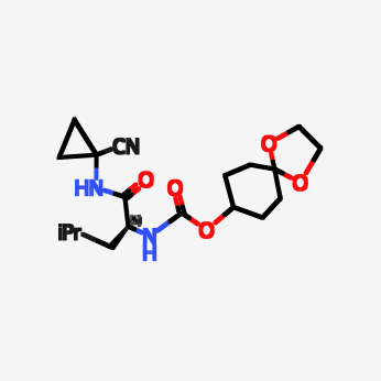 CC(C)C[C@H](NC(=O)OC1CCC2(CC1)OCCO2)C(=O)NC1(C#N)CC1